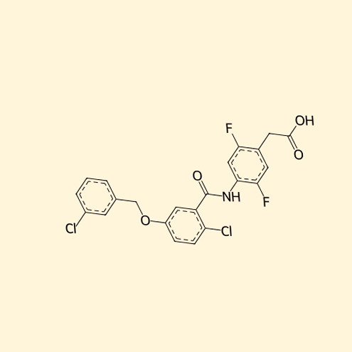 O=C(O)Cc1cc(F)c(NC(=O)c2cc(OCc3cccc(Cl)c3)ccc2Cl)cc1F